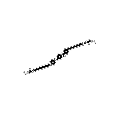 C=CC(=O)OCCCCCCCCCCCOc1ccc(OCc2ccc(OC(=O)c3ccc(CCCCCCCCCCOCOC(=O)C=C)cc3)cc2)cc1